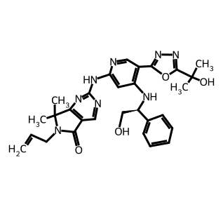 C=CCN1C(=O)c2cnc(Nc3cc(N[C@H](CO)c4ccccc4)c(-c4nnc(C(C)(C)O)o4)cn3)nc2C1(C)C